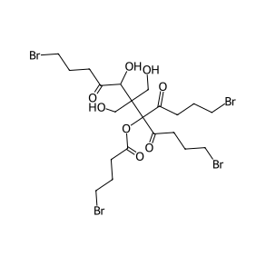 O=C(CCCBr)OC(C(=O)CCCBr)(C(=O)CCCBr)C(CO)(CO)C(O)C(=O)CCCBr